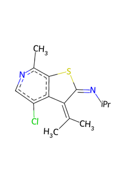 CC(C)=C1/C(=N\C(C)C)Sc2c(C)ncc(Cl)c21